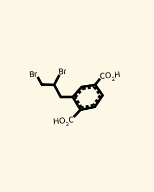 O=C(O)c1ccc(C(=O)O)c(CC(Br)CBr)c1